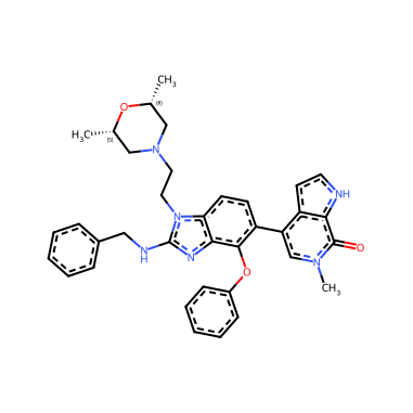 C[C@@H]1CN(CCn2c(NCc3ccccc3)nc3c(Oc4ccccc4)c(-c4cn(C)c(=O)c5[nH]ccc45)ccc32)C[C@H](C)O1